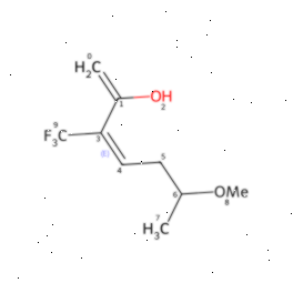 C=C(O)/C(=C\CC(C)OC)C(F)(F)F